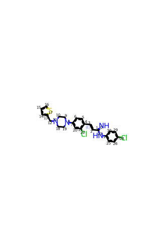 N=C(/C=C/c1ccc(N2CCN(Cc3cccs3)CC2)cc1Cl)Nc1ccc(Cl)cc1